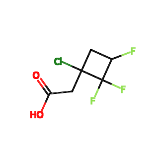 O=C(O)CC1(Cl)CC(F)C1(F)F